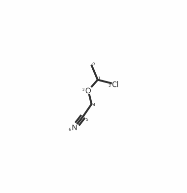 CC(Cl)OCC#N